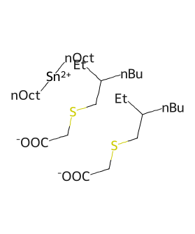 CCCCC(CC)CSCC(=O)[O-].CCCCC(CC)CSCC(=O)[O-].CCCCCCC[CH2][Sn+2][CH2]CCCCCCC